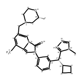 C[C@@H]1CN(Cc2cc(C(F)(F)F)c3cn(-c4cccc([C@H](c5nncn5C)C5CCC5)c4)c(=O)n3c2)CCO1